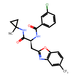 N#CC1(NC(=O)[C@H](Cc2nc3cc(C(F)(F)F)ccc3o2)NC(=O)c2cccc(Cl)c2)CC1